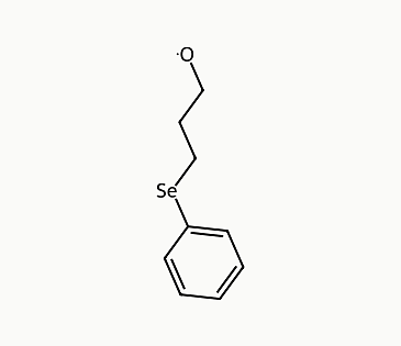 [O]CCC[Se]c1ccccc1